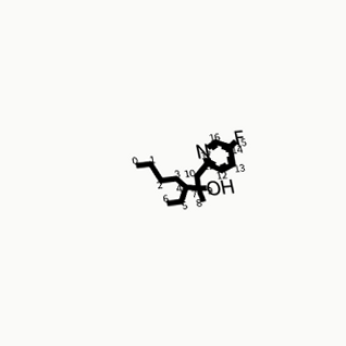 CCCCC(CC)C(C)(O)Cc1ccc(F)cn1